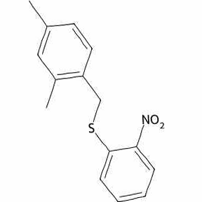 Cc1ccc(CSc2ccccc2[N+](=O)[O-])c(C)c1